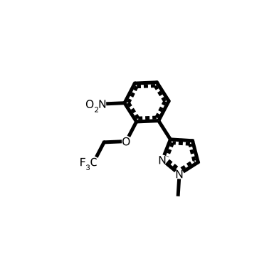 Cn1ccc(-c2cccc([N+](=O)[O-])c2OCC(F)(F)F)n1